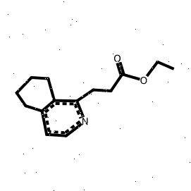 CCOC(=O)CCc1nccc2c1CCCC2